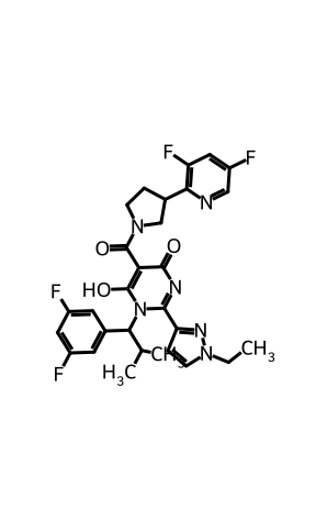 CCn1ccc(-c2nc(=O)c(C(=O)N3CCC(c4ncc(F)cc4F)C3)c(O)n2C(c2cc(F)cc(F)c2)C(C)C)n1